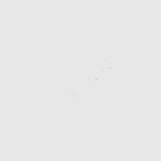 CN(C)CCONC(=O)[C@@H]1CC[C@@H]2CN1C(=O)N2O